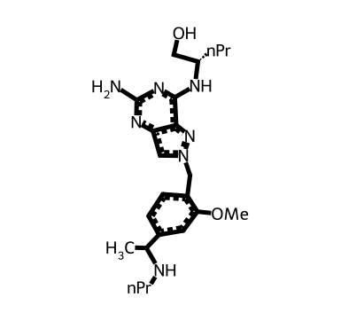 CCCNC(C)c1ccc(Cn2cc3nc(N)nc(N[C@H](CO)CCC)c3n2)c(OC)c1